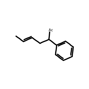 CC=CCC(C(C)=O)c1ccccc1